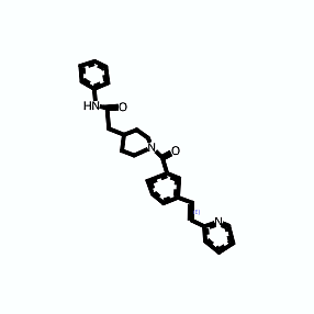 O=C(CC1CCN(C(=O)c2cccc(/C=C/c3ccccn3)c2)CC1)Nc1ccccc1